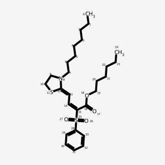 CCCCCCCCN1CCSC1=CC=C(C(=O)OCCCCCC)S(=O)(=O)c1ccccc1